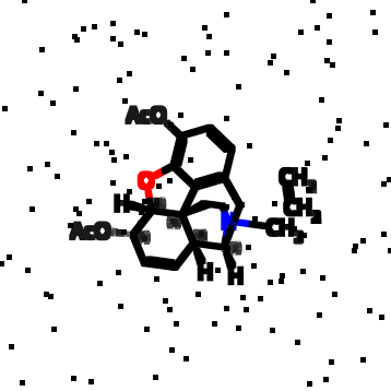 C=C.CC(=O)Oc1ccc2c3c1O[C@H]1[C@@H](OC(C)=O)C=C[C@H]4[C@@H](C2)N(C)CC[C@@]341